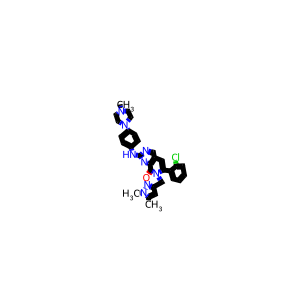 Cc1cc(Cn2c(-c3ccccc3Cl)cc3cnc(Nc4ccc(N5CCN(C)CC5)cc4)nc3c2=O)nn1C